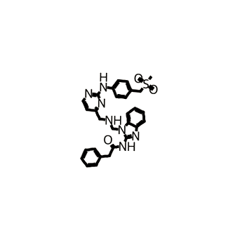 CS(=O)(=O)Cc1ccc(Nc2nccc(CNCn3c(NC(=O)Cc4ccccc4)nc4ccccc43)n2)cc1